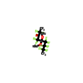 CCCC[O][Sn]([O]CCCC)([C](F)(F)C(F)(F)C(F)(F)C(F)(F)F)[C](F)(F)C(F)(F)C(F)(F)C(F)(F)F